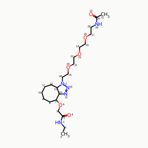 CCNC(=O)COC1CCCCCC2C1N=NN2CCOCCOCCOCCNC(C)=O